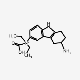 CC[N+](CC)(C(=O)O)c1ccc2[nH]c3c(c2c1)CC(N)CC3